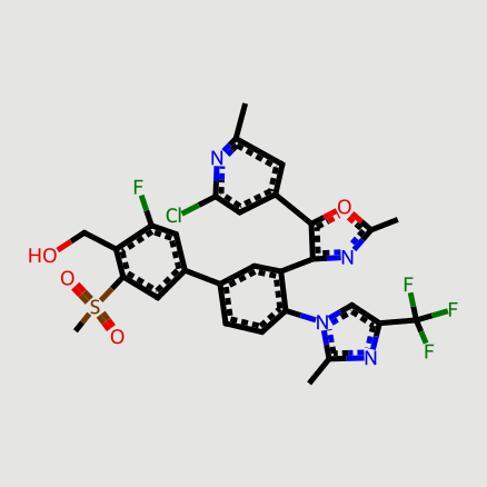 Cc1cc(-c2oc(C)nc2-c2cc(-c3cc(F)c(CO)c(S(C)(=O)=O)c3)ccc2-n2cc(C(F)(F)F)nc2C)cc(Cl)n1